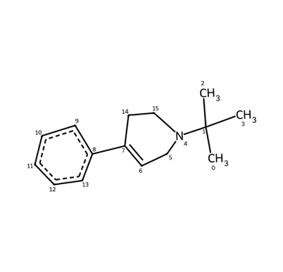 CC(C)(C)N1CC=C(c2ccccc2)CC1